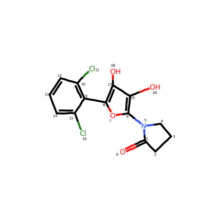 O=C1CCCN1c1oc(-c2c(Cl)cccc2Cl)c(O)c1O